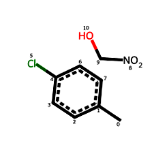 Cc1ccc(Cl)cc1.O=[N+]([O-])CO